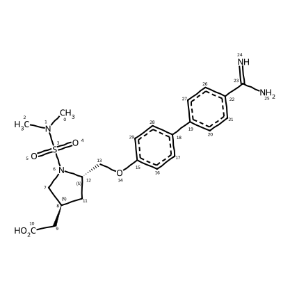 CN(C)S(=O)(=O)N1C[C@H](CC(=O)O)C[C@H]1COc1ccc(-c2ccc(C(=N)N)cc2)cc1